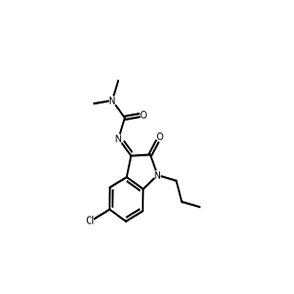 CCCN1C(=O)/C(=N\C(=O)N(C)C)c2cc(Cl)ccc21